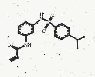 C=CC(=O)Nc1cccc(NS(=O)(=O)c2ccc(C(C)C)cc2)c1